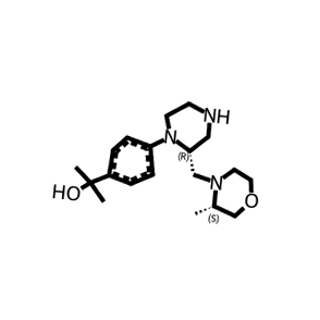 C[C@H]1COCCN1C[C@H]1CNCCN1c1ccc(C(C)(C)O)cc1